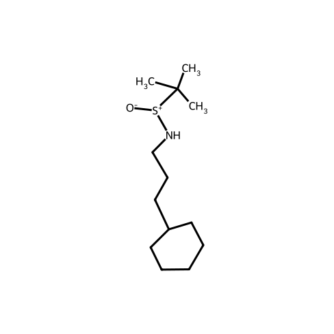 CC(C)(C)[S+]([O-])NCCCC1CCCCC1